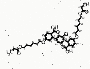 C=CC(=O)OCCCCCCOc1ccc(C(=O)O)c(-c2ccc(-c3cc(OCCCCCCOC(=O)C=C)ccc3C(=O)O)c(Cl)c2)c1